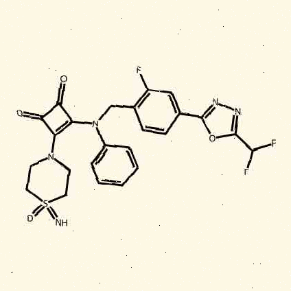 N=S1(=O)CCN(c2c(N(Cc3ccc(-c4nnc(C(F)F)o4)cc3F)c3ccccc3)c(=O)c2=O)CC1